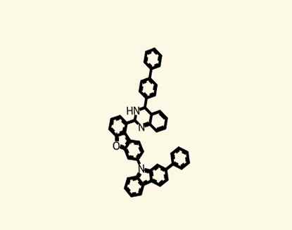 C1=CC2=NC(c3cccc4oc5cc(-n6c7ccccc7c7ccc(-c8ccccc8)cc76)ccc5c34)NC(c3ccc(-c4ccccc4)cc3)C2C=C1